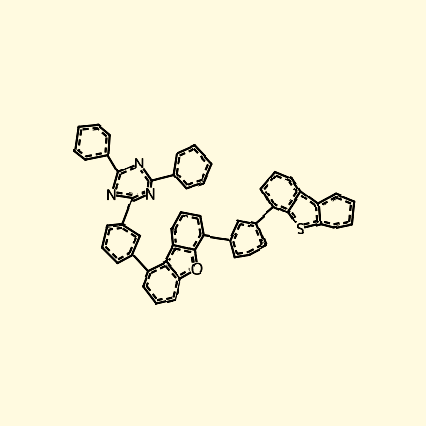 c1ccc(-c2nc(-c3ccccc3)nc(-c3cccc(-c4cccc5oc6c(-c7cccc(-c8cccc9c8sc8ccccc89)c7)cccc6c45)c3)n2)cc1